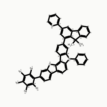 [2H]c1c([2H])c([2H])c(-c2ccc3c(c2)oc2c3ccc3c2c2ccc(-c4cc(-c5ccccn5)cc5c4C(C)(C)c4ccccc4-5)cc2n3-c2ccccc2)c([2H])c1[2H]